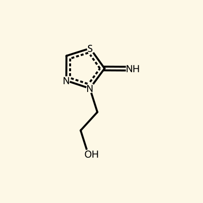 N=c1scnn1CCO